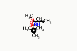 CCCCC(C)C(N[S+]([O-])c1c(C)cc(C)cc1C)C(=O)OCC